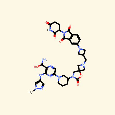 Cn1cc(Nc2nc(N3CCCC(N4CC5(CN(CC6CN(c7ccc8c(c7)C(=O)N(C7CCC(=O)NC7=O)C8=O)C6)C5)OC4=O)C3)cnc2C(N)O)cn1